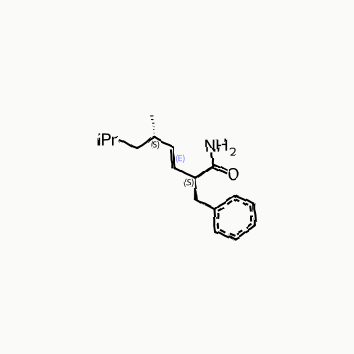 CC(C)C[C@H](C)/C=C/[C@H](Cc1ccccc1)C(N)=O